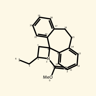 COC(=O)N1C(CI)CC12c1ccccc1CCc1ccccc12